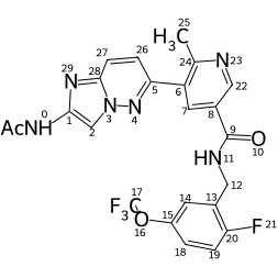 CC(=O)Nc1cn2nc(-c3cc(C(=O)NCc4cc(OC(F)(F)F)ccc4F)cnc3C)ccc2n1